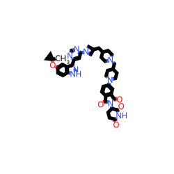 CC1(Oc2ccc3[nH]nc(-c4cc(N5CC(CC6CCN(CC7CCN(c8ccc9c(c8)C(=O)N(C8CCC(=O)NC8=O)C9=O)CC7)CC6)C5)ncn4)c3c2)CC1